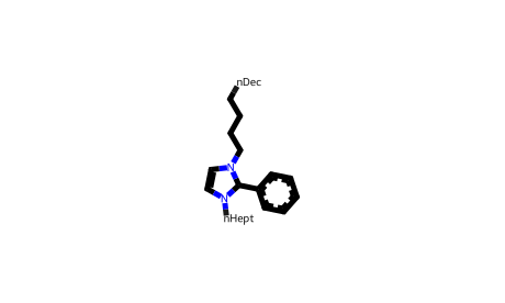 CCCCCCCCCCCCCCN1C=CN(CCCCCCC)C1c1ccccc1